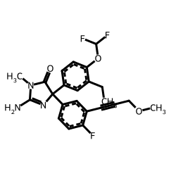 CCc1cc(C2(c3ccc(F)c(C#CCOC)c3)N=C(N)N(C)C2=O)ccc1OC(F)F